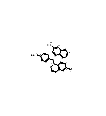 COc1ccc(CN2CC=Cc3cc([N+](=O)[O-])ccc32)cc1.Nc1ccc2ccccc2n1